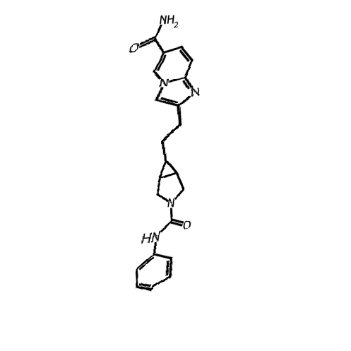 NC(=O)c1ccc2nc(CCC3C4CN(C(=O)Nc5ccccc5)CC34)cn2c1